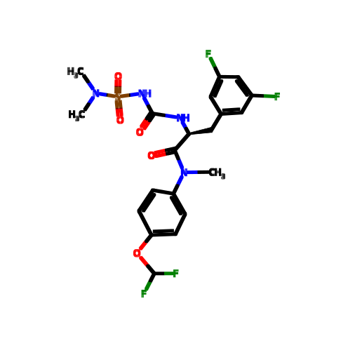 CN(C(=O)[C@H](Cc1cc(F)cc(F)c1)NC(=O)NS(=O)(=O)N(C)C)c1ccc(OC(F)F)cc1